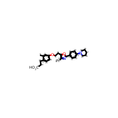 Cc1cc(OCCc2oc(-c3ccc(N4CCCCC4)cc3)nc2C(C)C)ccc1CCC(=O)O